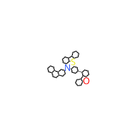 c1ccc2c(c1)ccc1ccc(N(c3ccc(-c4cccc5oc6ccccc6c45)cc3)c3cccc4c3sc3ccccc34)cc12